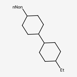 CCCCCCCCCC1CCC(C2CCC(CC)CC2)CC1